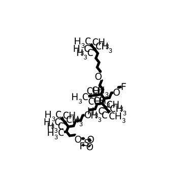 CC(CCOCS(=O)(=O)F)C(CCCCOCCCC(C(CCOCF)C(CCCOCCCCCC(C)(C)C(C)(C)C)C(C)(C)C(C)(C)C)C(C)(C)C(C)(C)C)C(C)(C)C(C)(C)C